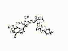 CN[C@@H](Cc1c[nH]cn1)C(=O)NP(=O)(O)OC[C@H]1O[C@@H](n2cnc3c(=O)[nH]c(N)nc32)[C@H](O)[C@@H]1O